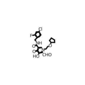 O=Cc1c(O)c(=O)c(C(=O)NCc2ccc(Cl)cc2F)cn1CCOC1CCCC1